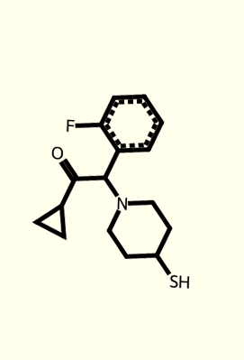 O=C(C1CC1)C(c1ccccc1F)N1CCC(S)CC1